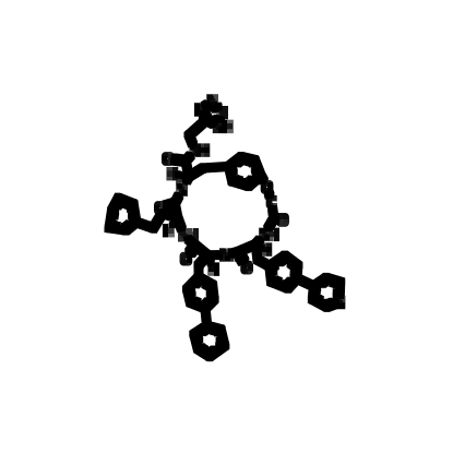 O=C1COc2ccc(cc2)C[C@@H](C(=O)NCc2nnn[nH]2)NC(=O)[C@H](CCc2ccccc2)NC(=O)[C@@H](Cc2ccc(-c3ccccc3)cc2)NC(=O)[C@H](Cc2ccc(-c3ccncc3)cc2)N1